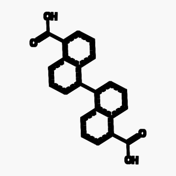 O=C(O)c1cccc2c(-c3cccc4c(C(=O)O)cccc34)cccc12